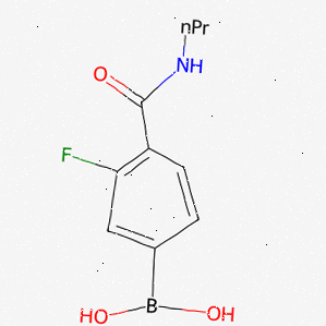 CCCNC(=O)c1ccc(B(O)O)cc1F